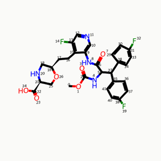 COC(=O)NC(C(=O)Nc1cncc(F)c1CC[C@@H]1CN[C@H](C(=O)O)CO1)C(c1ccc(F)cc1)c1ccc(F)cc1